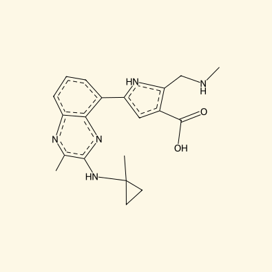 CNCc1[nH]c(-c2cccc3nc(C)c(NC4(C)CC4)nc23)cc1C(=O)O